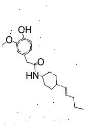 CCCC=CC1CCC(NC(=O)Cc2ccc(O)c(OC)c2)CC1